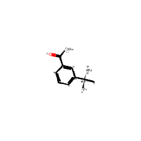 CCC[C@@](C)(c1cccc(C(=O)OC)c1)[C@@H](C)CC